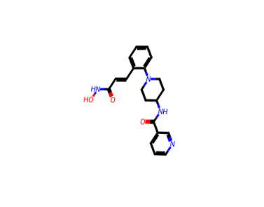 O=C(/C=C/c1ccccc1N1CCC(NC(=O)c2cccnc2)CC1)NO